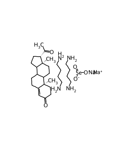 CC(=O)[C@H]1CCC2C3CCC4=CC(=O)CC[C@]4(C)C3CC[C@@]21C.NCCCCN.NCCCCN.O=[Se]([O-])[O-].[Na+].[Na+]